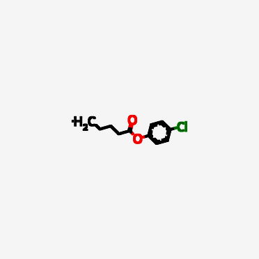 [CH2]CCCC(=O)Oc1ccc(Cl)cc1